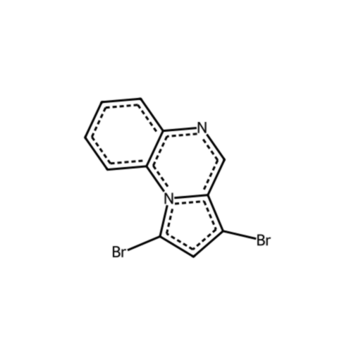 Brc1cc(Br)n2c1cnc1ccccc12